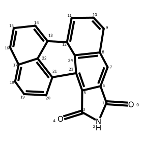 O=c1[nH]c(=O)c2c1cc1cccc3c4cccc5cccc(c54)c2c13